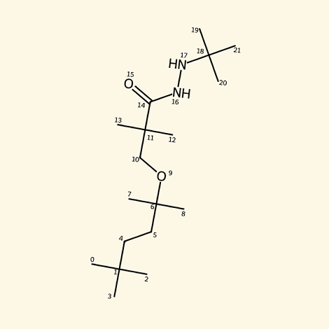 CC(C)(C)CCC(C)(C)OCC(C)(C)C(=O)NNC(C)(C)C